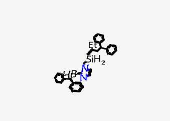 CCC(=C[SiH2]Cn1ccnc1BC(c1ccccc1)c1ccccc1)CC(c1ccccc1)c1ccccc1